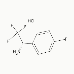 Cl.N[C@@H](c1ccc(F)cc1)C(F)(F)F